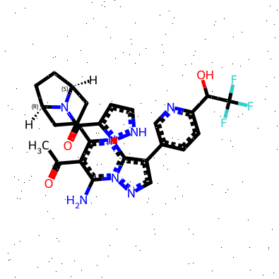 CC(=O)c1c(C2C[C@H]3CC[C@@H](C2)N3C(=O)c2cc[nH]n2)nc2c(-c3ccc(C(O)C(F)(F)F)nc3)cnn2c1N